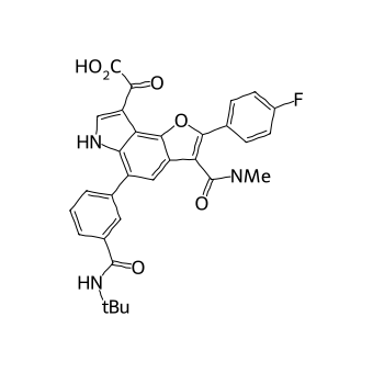 CNC(=O)c1c(-c2ccc(F)cc2)oc2c1cc(-c1cccc(C(=O)NC(C)(C)C)c1)c1[nH]cc(C(=O)C(=O)O)c12